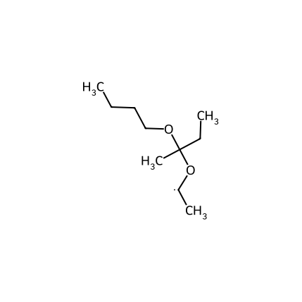 C[CH]OC(C)(CC)OCCCC